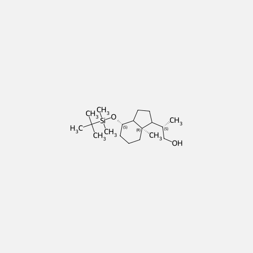 C[C@H](CO)C1CCC2[C@@H](O[Si](C)(C)C(C)(C)C)CCC[C@]12C